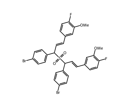 COc1cc(C=CC(c2ccc(Br)cc2)S(=O)(=O)C(C=Cc2ccc(F)c(OC)c2)c2ccc(Br)cc2)ccc1F